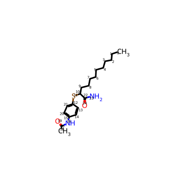 CCCCCCCCCCC(Sc1ccc(NC(C)=O)cc1)C(N)=O